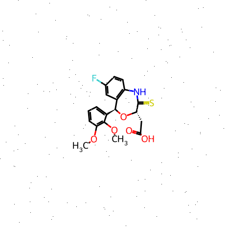 COc1cccc([C@@H]2O[C@@H](CC(=O)O)C(=S)Nc3ccc(F)cc32)c1OC